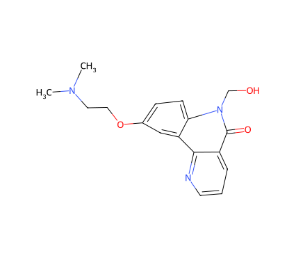 CN(C)CCOc1ccc2c(c1)c1ncccc1c(=O)n2CO